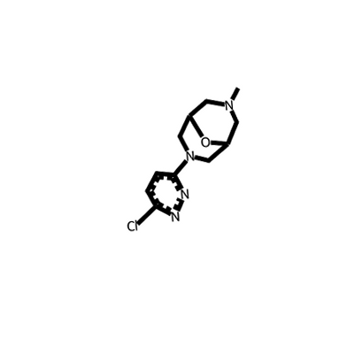 CN1CC2CN(c3ccc(Cl)nn3)CC(C1)O2